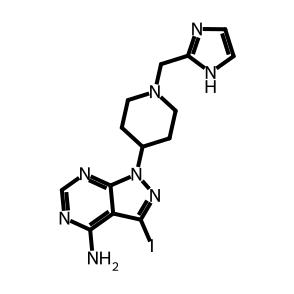 Nc1ncnc2c1c(I)nn2C1CCN(Cc2ncc[nH]2)CC1